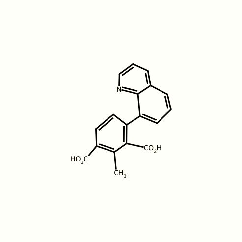 Cc1c(C(=O)O)ccc(-c2cccc3cccnc23)c1C(=O)O